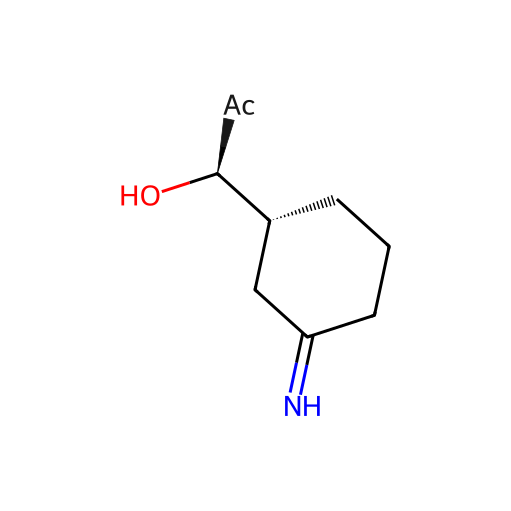 CC(=O)[C@H](O)[C@@H]1CCCC(=N)C1